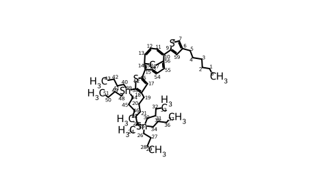 CCCCCCc1csc(C2=C/C=C\C3=C(c4cc(CCCC[CH](C)[Sn]([CH2]CCC)([CH2]CCC)[CH2]CCC)[c]([Sn]([CH2]CCC)([CH2]CCC)[CH2]CCC)s4)\C=C\C=C\2CC3)c1